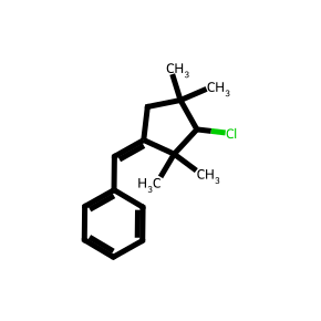 CC1(C)CC(=Cc2ccccc2)C(C)(C)C1Cl